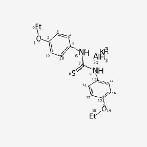 CCOc1ccc(NC(=S)Nc2ccc(OCC)cc2)cc1.[AlH3].[KH]